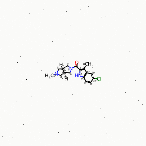 Cc1c(C(=O)N2C[C@H]3CN(C)C[C@H]3C2)[nH]c2ccc(Cl)cc12